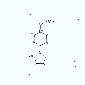 CSCN1CCC(N2CCCC2)CC1